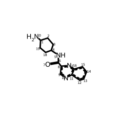 NC1CCC(NC(=O)c2cnc3ccccc3n2)CC1